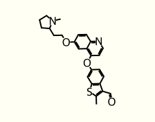 Cc1sc2cc(Oc3ccnc4ccc(OCCC5CCCN5C)cc34)ccc2c1C=O